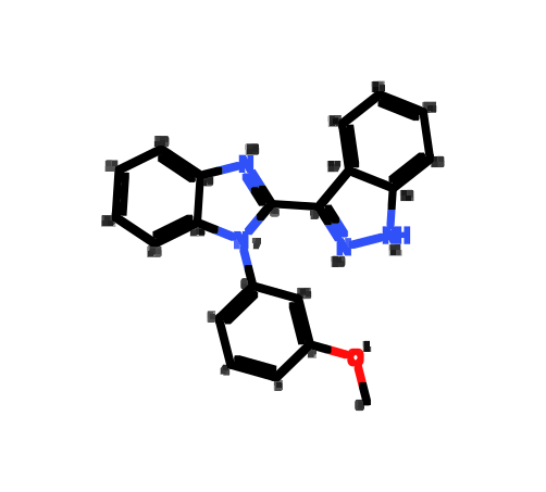 COc1cccc(-n2c(-c3n[nH]c4ccccc34)nc3ccccc32)c1